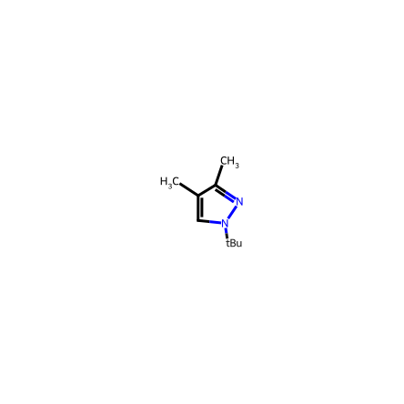 Cc1cn(C(C)(C)C)nc1C